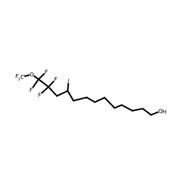 OCCCCCCCCCC(I)CC(F)(F)C(F)(F)OC(F)(F)F